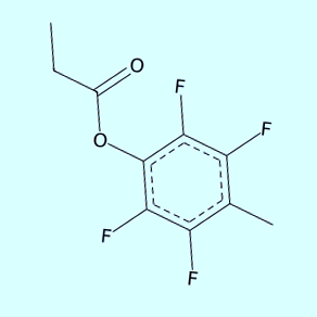 CCC(=O)Oc1c(F)c(F)c(C)c(F)c1F